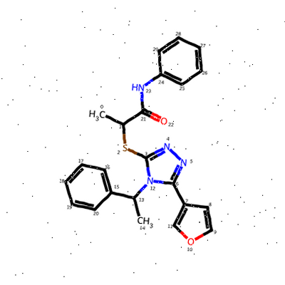 CC(Sc1nnc(-c2ccoc2)n1C(C)c1ccccc1)C(=O)Nc1ccccc1